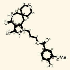 CCc1nn(CCCOC(=O)c2ccc(Cl)c(OC)c2)c2c1C(=O)NCC1(CCOCC1)C2